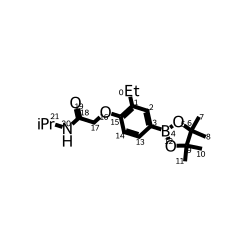 CCc1cc(B2OC(C)(C)C(C)(C)O2)ccc1OCC(=O)NC(C)C